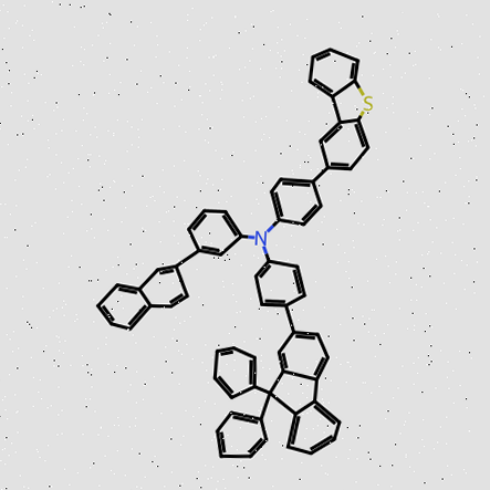 c1ccc(C2(c3ccccc3)c3ccccc3-c3ccc(-c4ccc(N(c5ccc(-c6ccc7sc8ccccc8c7c6)cc5)c5cccc(-c6ccc7ccccc7c6)c5)cc4)cc32)cc1